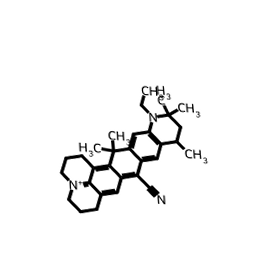 CCN1c2cc3c(cc2C(C)CC1(C)C)C(C#N)=c1cc2c4c(c1C3(C)C)CCC[N+]=4CCC2